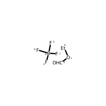 CCOC=O.F[B-](F)(F)F